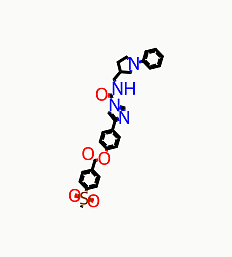 CS(=O)(=O)c1ccc(C(=O)Oc2ccc(-c3cn(C(=O)NCC4CCN(c5ccccc5)C4)cn3)cc2)cc1